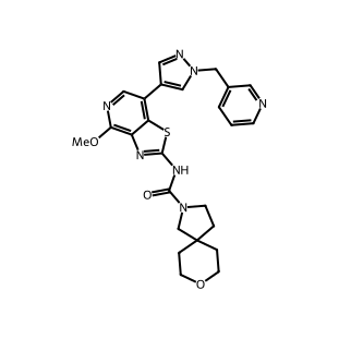 COc1ncc(-c2cnn(Cc3cccnc3)c2)c2sc(NC(=O)N3CCC4(CCOCC4)C3)nc12